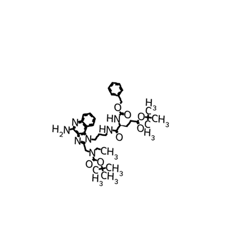 CCN(Cc1nc2c(N)nc3ccccc3c2n1CCCNC(=O)[C@H](CCC(=O)OC(C)(C)C)NC(=O)OCc1ccccc1)C(=O)OC(C)(C)C